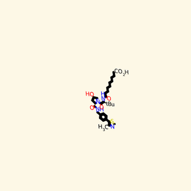 Cc1ncsc1-c1ccc(CNC(=O)[C@@H]2C[C@H](O)CN2C(=O)[C@@H](NC(=O)CCCCCCCCCC(=O)O)C(C)(C)C)cc1